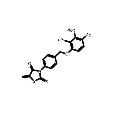 C=C1SC(=S)N(c2ccc(COc3ccc(C(C)=O)c(OC(C)=O)c3CCC)cc2)C1=O